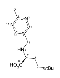 Cc1ncc(CN[C@@H](CCC(C)(C)C)C(=O)O)cn1